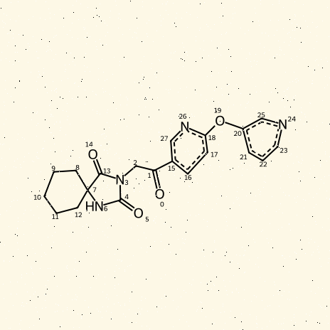 O=C(CN1C(=O)NC2(CCCCC2)C1=O)c1ccc(Oc2cccnc2)nc1